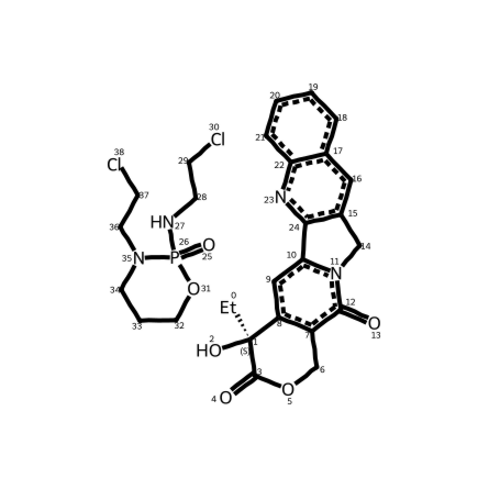 CC[C@@]1(O)C(=O)OCc2c1cc1n(c2=O)Cc2cc3ccccc3nc2-1.O=P1(NCCCl)OCCCN1CCCl